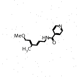 COCC=C(C)C=CCNC(=O)c1ccncc1